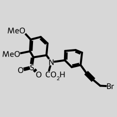 COC1=C(OC)C(=S(=O)=O)C(N(C(=O)O)c2cccc(C#CCBr)c2)C=C1